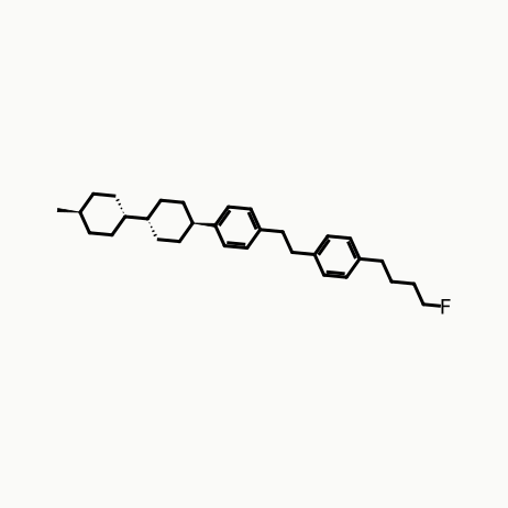 C[C@H]1CC[C@H]([C@H]2CC[C@H](c3ccc(CCc4ccc(CCCCF)cc4)cc3)CC2)CC1